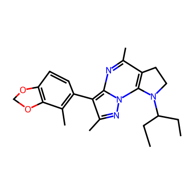 CCC(CC)N1CCc2c(C)nc3c(-c4ccc5c(c4C)OCO5)c(C)nn3c21